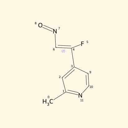 Cc1cc(/C(F)=C/N=O)ccn1